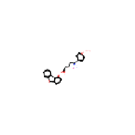 O=C(CC1CC(c2ccc(O)cc2)=NO1)Oc1cccc2c1-c1ccccc1C2=O